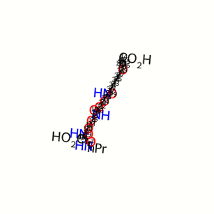 CCCNC(=O)CC[C@H](NC(=O)COCCOCCNC(=O)COCCOCCNC(=O)CCCCCCCCCOc1ccc(C(=O)O)cc1)C(=O)O